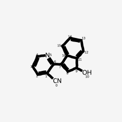 N#Cc1cccnc1C1=CC(O)c2ccccc21